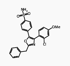 COc1ccc(-c2nc(Cc3ccccc3)oc2-c2ccc(S(N)(=O)=O)cc2)c(Cl)c1